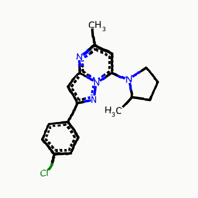 Cc1cc(N2CCCC2C)n2nc(-c3ccc(Cl)cc3)cc2n1